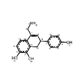 NCC1=CC(c2ccc(O)cc2)Cc2c1ccc(O)c2O